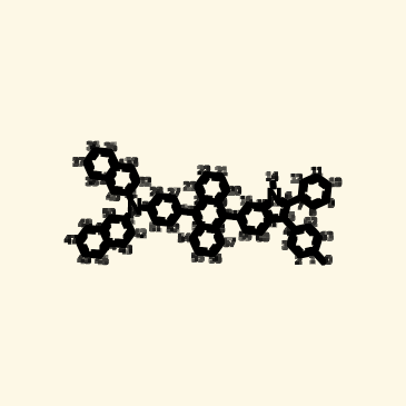 Cc1ccc(-c2c(-c3ccccc3)n(C)c3cc(-c4c5ccccc5c(-c5ccc(N(c6ccc7ccccc7c6)c6ccc7ccccc7c6)cc5)c5ccccc45)ccc23)cc1